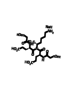 CCCCCCCCCCCC(=O)N[C@@H](CCC(=O)O)C(=O)N(C(=O)[C@H](CCC(=O)O)NC(=O)CCCCCCCCCCC)[C@@H](CCCCN)C(=O)O.[NaH]